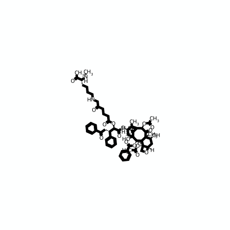 CN[C@H](CCCCNCC(=O)CCCC(=O)O[C@@H](C(=O)O[C@H]1C[C@@]2(O)[C@@H](OC(=O)c3ccccc3)[C@@H]3[C@]4(OC(C)=O)CO[C@@H]4C[C@H](O)[C@@]3(C)C(=O)[C@H](OC(C)=O)C(=C1C)C2(C)C)[C@@H](CC(=O)c1ccccc1)c1ccccc1)C(C)=O